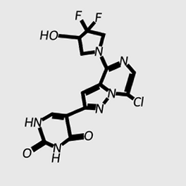 O=c1[nH]cc(-c2cc3c(N4CC(O)C(F)(F)C4)ncc(Cl)n3n2)c(=O)[nH]1